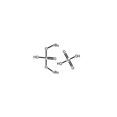 CCCCOP(=O)(O)OCCCC.O=[Se](=O)(O)O